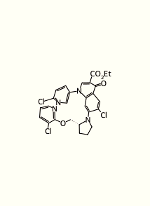 CCOC(=O)c1cn(-c2ccc(Cl)nc2)c2cc(N3CCC[C@@H]3COc3ncccc3Cl)c(Cl)cc2c1=O